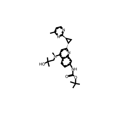 Cc1ccnc([C@H]2C[C@@H]2c2cc(N(C)CC(C)(C)O)c3ccc(NC(=O)OC(C)(C)C)cc3n2)n1